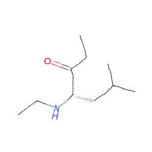 CCN[C@@H](CC(C)C)C(=O)CC